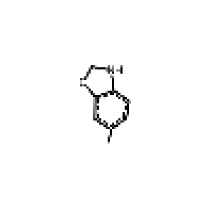 Cc1ccc2c(c1)OCN2